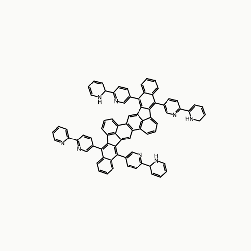 C1=CCNC(c2ccc(-c3c4ccccc4c(-c4ccc(C5C=CC=CN5)nc4)c4c5cc6c(cc7c8c(-c9ccc(C%10C=CC=CN%10)nc9)c9ccccc9c(-c9ccc(-c%10ccccn%10)nc9)c8c8cccc6c87)c6cccc(c34)c65)cn2)=C1